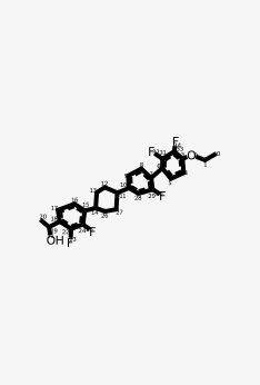 CCOc1ccc(-c2ccc(C3CCC(c4ccc(C(C)O)c(F)c4F)CC3)cc2F)c(F)c1F